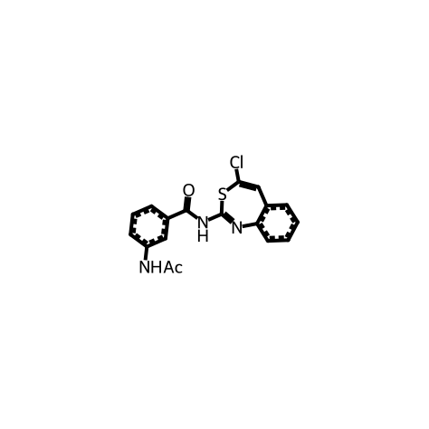 CC(=O)Nc1cccc(C(=O)NC2=Nc3ccccc3C=C(Cl)S2)c1